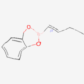 CC/C=C/B1Oc2ccccc2O1